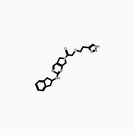 O=C(COCCc1c[nH]nn1)N1Cc2cnc(NC3Cc4ccccc4C3)nc2C1